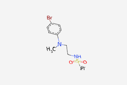 CC(C)S(=O)(=O)NCCN(C)c1ccc(Br)cc1